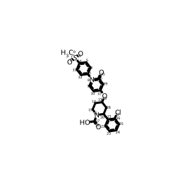 CS(=O)(=O)c1ccc(-n2ccc(OC3CCN(C(=O)O)C(c4ccccc4Cl)C3)cc2=O)cc1